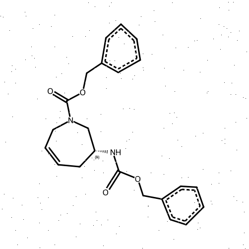 O=C(N[C@@H]1CC=CCN(C(=O)OCc2ccccc2)C1)OCc1ccccc1